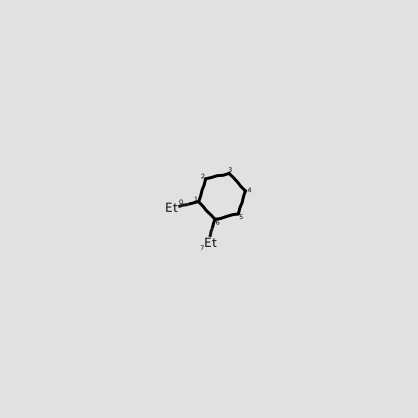 [CH2]CC1CCCCC1C[CH2]